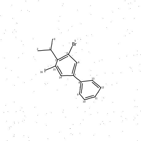 CC(C)c1c(Br)cc(-c2ccccc2)cc1I